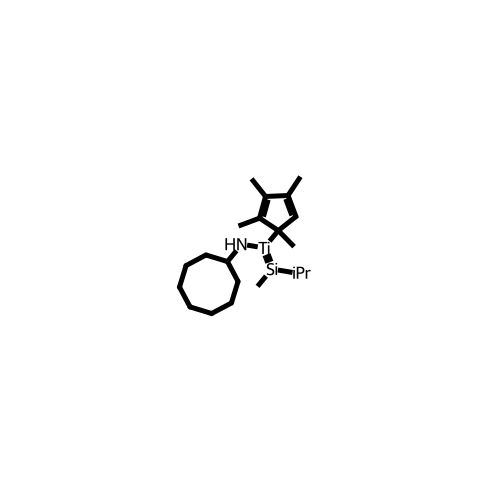 CC1=C[C](C)([Ti]([NH]C2CCCCCCC2)=[Si](C)C(C)C)C(C)=C1C